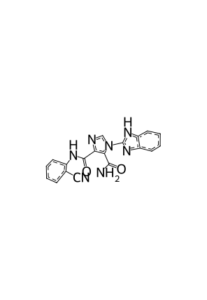 N#Cc1ccccc1NC(=O)c1ncn(-c2nc3ccccc3[nH]2)c1C(N)=O